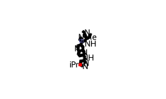 CN/C=C(\C(=N)c1ccnc(C)c1)c1cnc2ccc(Nc3cc(C(C)C)cnn3)nc2c1